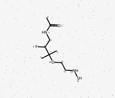 CC(=O)NCC(F)C(C)(C)OCCNS